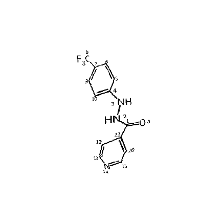 O=C(NNc1ccc(C(F)(F)F)cc1)c1ccncc1